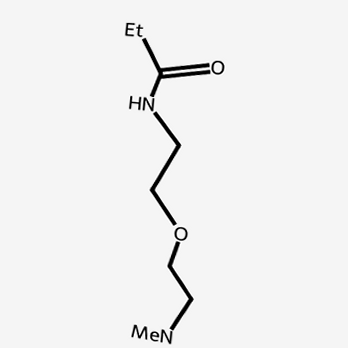 CCC(=O)NCCOCCNC